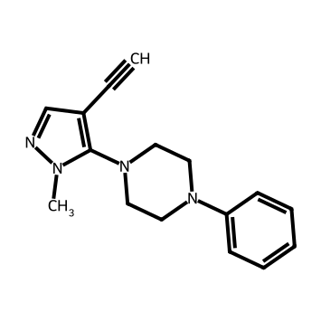 C#Cc1cnn(C)c1N1CCN(c2ccccc2)CC1